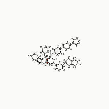 c1ccc(-c2ccc(-c3ccc(N(c4cccc(-c5cccc(-c6ccc7ccccc7c6)c5)c4)c4ccccc4-c4cccc5oc6ccccc6c45)cc3)cc2)cc1